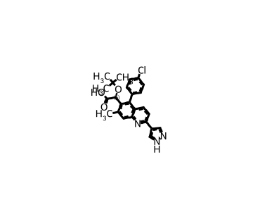 Cc1cc2nc(-c3cn[nH]c3)ccc2c(-c2ccc(Cl)cc2)c1[C@H](OC(C)(C)C)C(=O)O